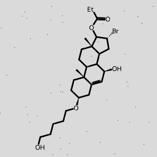 CCC(=O)OC1[C@H](Br)CC2C3C(CC[C@@]21C)[C@@]1(C)CC[C@H](OCCCCCO)CC1=C[C@@H]3O